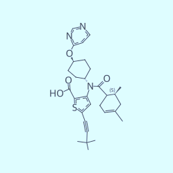 CC1=CCC(C(=O)N(c2cc(C#CC(C)(C)C)sc2C(=O)O)[C@H]2CC[C@H](Oc3ccncn3)CC2)[C@@H](C)C1